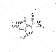 COc1cc2c(C(=O)O)cc(=O)[nH]c2cc1Cl